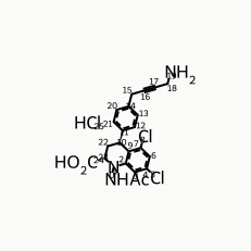 CC(=O)NN1c2cc(Cl)cc(Cl)c2[C@H](c2ccc(CC#CCN)cc2)C[C@H]1C(=O)O.Cl